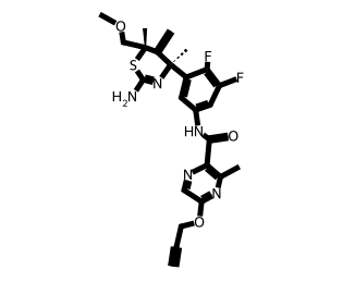 C#CCOc1cnc(C(=O)Nc2cc(F)c(F)c([C@@]3(C)N=C(N)S[C@](C)(COC)C3=C)c2)c(C)n1